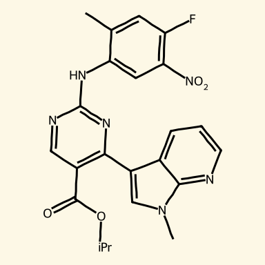 Cc1cc(F)c([N+](=O)[O-])cc1Nc1ncc(C(=O)OC(C)C)c(-c2cn(C)c3ncccc23)n1